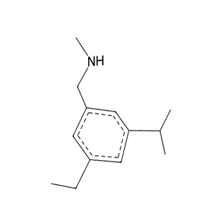 CCc1cc(CNC)cc(C(C)C)c1